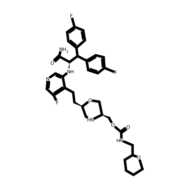 NC(=O)[C@@H](Nc1cncc(F)c1CC[C@@H]1CN[C@H](COC(=O)NCC2CCCCO2)CO1)C(c1ccc(F)cc1)c1ccc(F)cc1